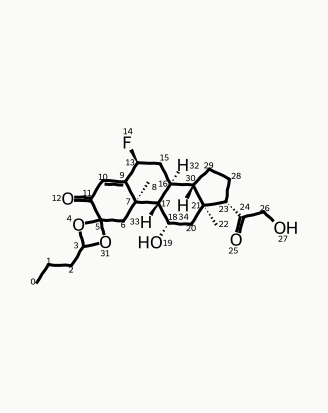 CCCC1OC2(C[C@@]3(C)C(=CC2=O)[C@@H](F)C[C@@H]2[C@@H]3[C@@H](O)C[C@]3(C)[C@@H](C(=O)CO)CC[C@@H]23)O1